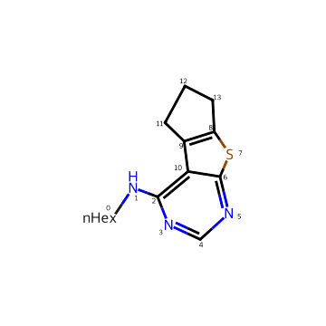 CCCCCCNc1ncnc2sc3c(c12)CCC3